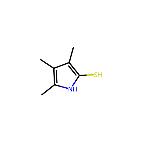 Cc1[nH]c(S)c(C)c1C